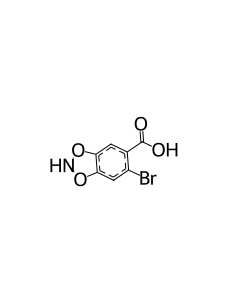 O=C(O)c1cc2c(cc1Br)ONO2